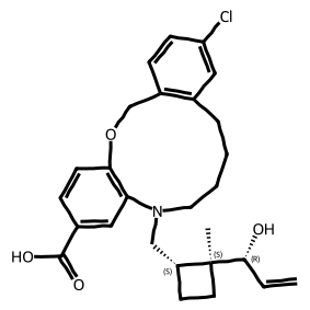 C=C[C@@H](O)[C@@]1(C)CC[C@@H]1CN1CCCCc2cc(Cl)ccc2COc2ccc(C(=O)O)cc21